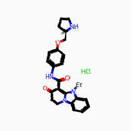 CCN1C2=C(C(=O)Nc3ccc(OC[C@H]4CCCN4)cc3)C(=O)CCN2c2ccccc21.Cl